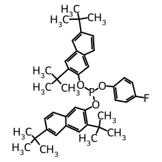 CC(C)(C)c1ccc2cc(OP(Oc3ccc(F)cc3)Oc3cc4ccc(C(C)(C)C)cc4cc3C(C)(C)C)c(C(C)(C)C)cc2c1